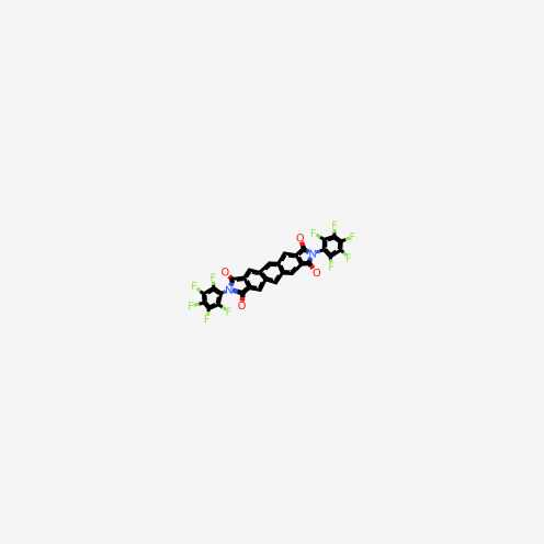 O=c1c2cc3cc4cc5c(=O)n(-c6c(F)c(F)c(F)c(F)c6F)c(=O)c5cc4cc3cc2c(=O)n1-c1c(F)c(F)c(F)c(F)c1F